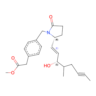 CC#CCC(C)[C@H](O)/C=C/[C@H]1CCC(=O)N1Cc1ccc(CC(=O)OC)cc1